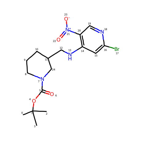 CC(C)(C)OC(=O)N1CCCC(CNc2cc(Br)ncc2[N+](=O)[O-])C1